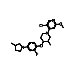 COc1cc(N2CCC(Oc3ccc(N4CCC(C)C4)cc3F)C(C)C2)c(Cl)cn1